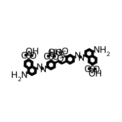 Nc1ccc(/N=N/c2ccc(/C=C/c3ccc(/N=N/c4ccc(N)c5ccc(S(=O)(=O)O)cc45)cc3S(=O)(=O)O)c(S(=O)(=O)O)c2)c2cc(S(=O)(=O)O)ccc12